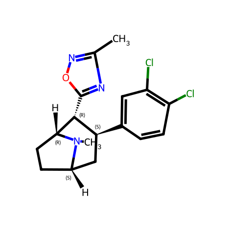 Cc1noc([C@@H]2[C@@H](c3ccc(Cl)c(Cl)c3)C[C@@H]3CC[C@H]2N3C)n1